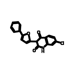 O=C1Nc2cc(Cl)ccc2C(=O)C1c1ccc(-c2ccccc2)o1